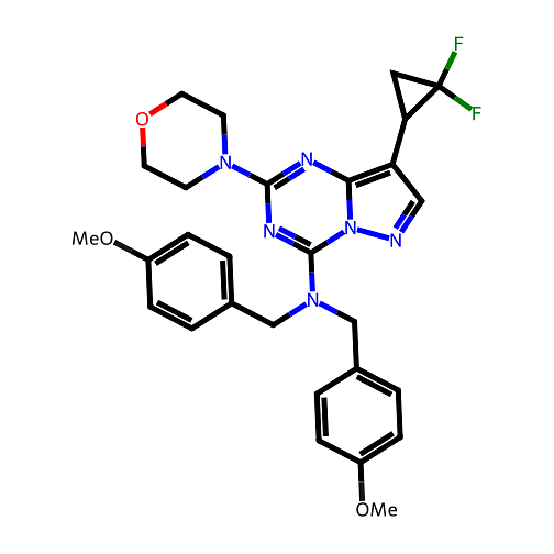 COc1ccc(CN(Cc2ccc(OC)cc2)c2nc(N3CCOCC3)nc3c(C4CC4(F)F)cnn23)cc1